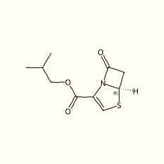 CC(C)COC(=O)C1=CS[C@@H]2CC(=O)N12